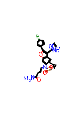 CS(=O)(=O)N(CCCC(N)=O)c1cc2oc(-c3ccc(F)cc3)c(-c3ncc[nH]3)c2cc1C1CC1